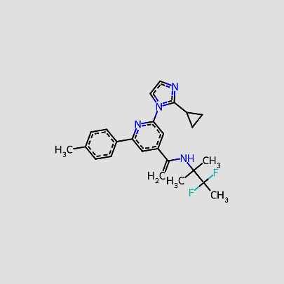 C=C(NC(C)(C)C(C)(F)F)c1cc(-c2ccc(C)cc2)nc(-n2ccnc2C2CC2)c1